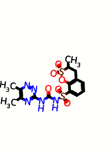 Cc1nnc(NC(=O)NS(=O)(=O)c2cccc3c2OS(=O)(=O)C(C)C3)nc1C